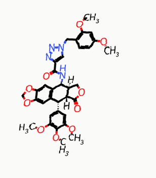 COc1ccc(Cn2cc(C(=O)N[C@@H]3c4cc5c(cc4[C@@H](c4cc(OC)c(OC)c(OC)c4)[C@H]4C(=O)OC[C@@H]43)OCO5)nn2)c(OC)c1